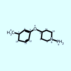 CC1C=C(OC2CCN(P)CC2)C=CC1